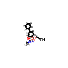 C#CCOC1(S(=O)(=O)NCC(C)C)C=CC(c2ccccc2)=CC1